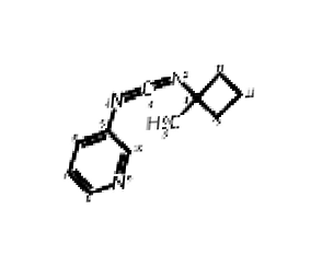 CC1(N=C=Nc2cccnc2)CCC1